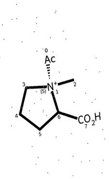 CC(=O)[N@@+]1(C)CCCC1C(=O)O